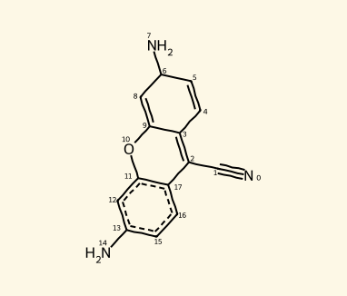 N#CC1=C2C=CC(N)C=C2Oc2cc(N)ccc21